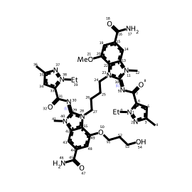 CCn1nc(C)cc1C(=O)/N=c1\n(C)c2cc(C(N)=O)cc(OC)c2n1CCCCn1/c(=N/C(=O)c2cc(C)nn2CC)n(C)c2cc(C(N)=O)cc(OCCCO)c21